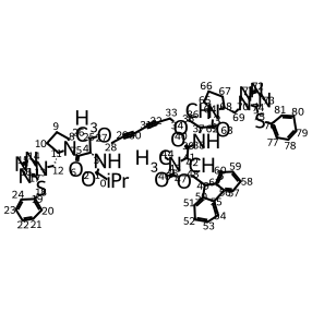 CC(C)C(=O)N[C@H](C(=O)N1CCC[C@H]1Cn1nnnc1Sc1ccccc1)C(C)OCC#CC#CCOC(C)[C@H](NC(=O)[C@H](C)N(C)C(=O)OCC1c2ccccc2-c2ccccc21)C(=O)N1CCC[C@H]1Cn1nnnc1Sc1ccccc1